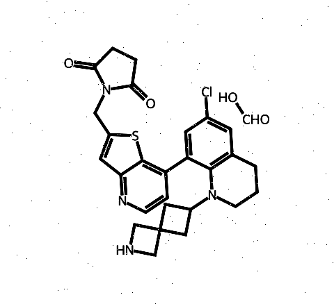 O=C1CCC(=O)N1Cc1cc2nccc(-c3cc(Cl)cc4c3N(C3CC5(CNC5)C3)CCC4)c2s1.O=CO